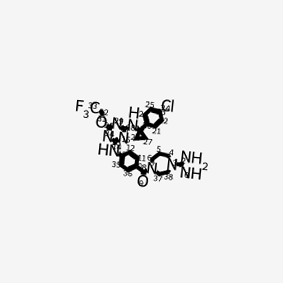 N=C(N)N1CCCN(C(=O)c2ccc(Nc3nc(NC4(c5ccc(Cl)cc5)CC4)nc(OCC(F)(F)F)n3)cc2)CC1